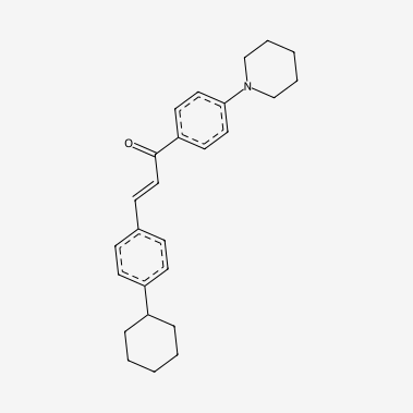 O=C(/C=C/c1ccc(C2CCCCC2)cc1)c1ccc(N2CCCCC2)cc1